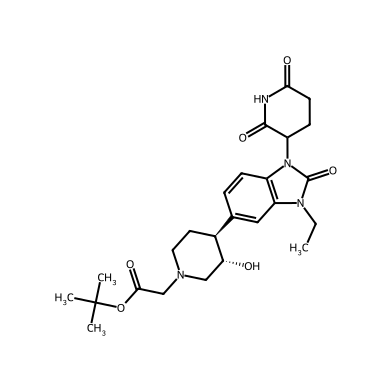 CCn1c(=O)n(C2CCC(=O)NC2=O)c2ccc([C@@H]3CCN(CC(=O)OC(C)(C)C)C[C@H]3O)cc21